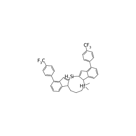 [CH3][Hf]1([CH3])[CH2]CCC2C(=Cc3c(-c4ccc(C(F)(F)F)cc4)cccc32)[SiH2]C2=Cc3c(-c4ccc(C(F)(F)F)cc4)cccc3[CH]21